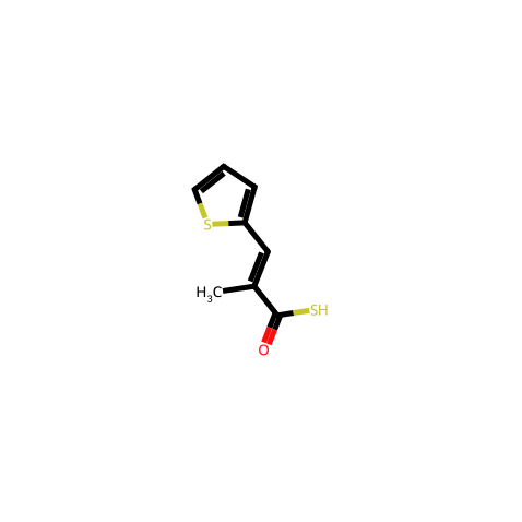 C/C(=C\c1cccs1)C(=O)S